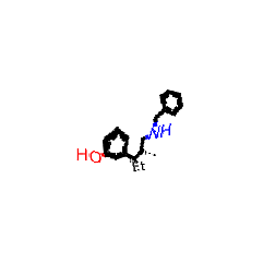 CC[C@@H](c1cccc(O)c1)[C@@H](C)CNCc1ccccc1